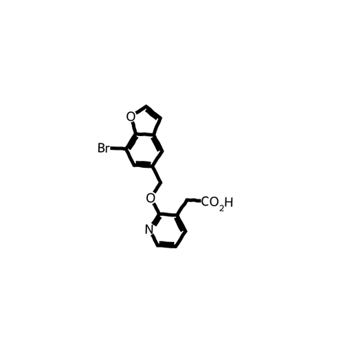 O=C(O)Cc1cccnc1OCc1cc(Br)c2occc2c1